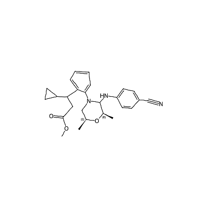 COC(=O)CC(c1ccccc1N1C[C@H](C)O[C@H](C)C1Nc1ccc(C#N)cc1)C1CC1